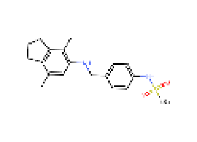 Cc1cc(NCc2ccc(NS(=O)(=O)C(C)(C)C)cc2)c(C)c2c1CCC2